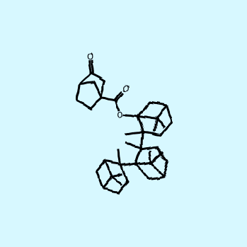 CC1(C)C2CCC(C)(C34CC(CCC3(C)C3(C)CCC5CC3(OC(=O)C36CCC(C3)C(=O)C6)C5(C)C)C4(C)C)C1C2